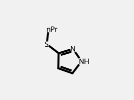 CCCSc1cc[nH]n1